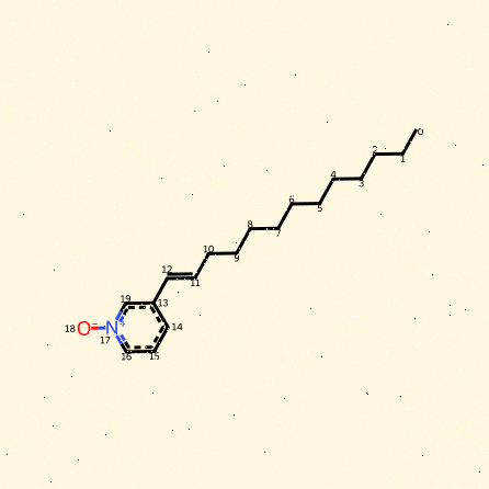 CCCCCCCCCCCC=Cc1ccc[n+]([O-])c1